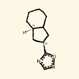 c1noc([C@@H]2CC3CCCC[C@@H]3C2)n1